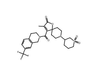 CC1=C(C(=O)N2CCc3ccc(C(F)(F)F)cc3C2)C2(CCN(C3CCCS(=O)(=O)C3)CC2)OC1=O